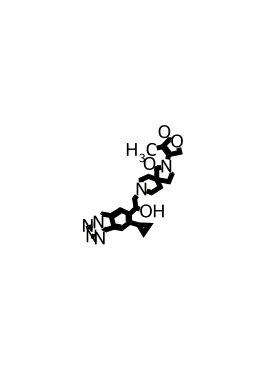 CC1=C(N2CCC3(CCN(CC(O)c4cc5c(cc4C4CC4)-c4nnnn4C5)CC3)C2=O)COC1=O